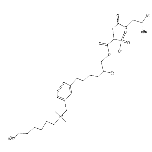 CCCCCCCCCCCCCCCC[N+](C)(C)Cc1cccc(CCCCC(CC)COC(=O)C(CC(=O)OCC(CC)CCCC)S(=O)(=O)[O-])c1